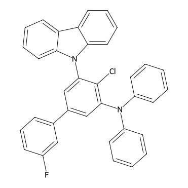 Fc1cccc(-c2cc(N(c3ccccc3)c3ccccc3)c(Cl)c(-n3c4ccccc4c4ccccc43)c2)c1